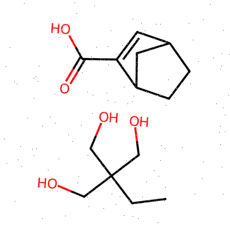 CCC(CO)(CO)CO.O=C(O)C1=CC2CCC1C2